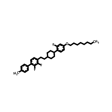 CCCCCCCCOc1ccc(C2CCC(CCc3ccc(-c4ccc(C)cc4)c(F)c3F)CC2)c(F)c1